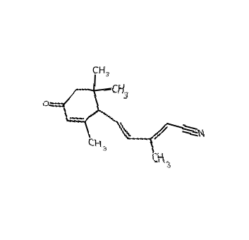 CC(C=CC1C(C)=CC(=O)CC1(C)C)=CC#N